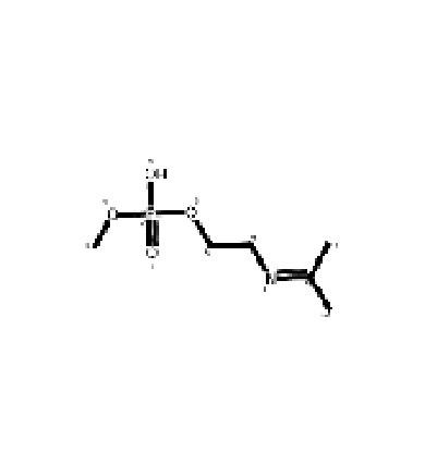 COP(=O)(O)OCCN=C(C)C